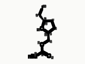 CCCCC(=O)OC[C@@H]1CC[C@@H](CI)O1